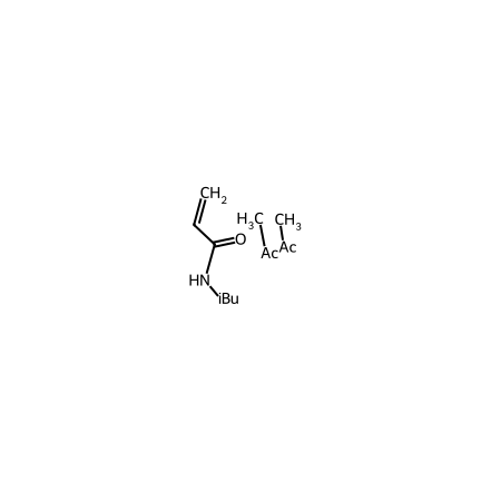 C=CC(=O)NC(C)CC.CC(C)=O.CC(C)=O